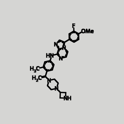 C=C(c1ccc(Nc2nccn3c(-c4ccc(OC)c(F)c4)cnc23)cc1C)N1CCN(C2CNC2)CC1